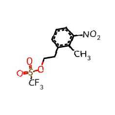 Cc1c(CCOS(=O)(=O)C(F)(F)F)cccc1[N+](=O)[O-]